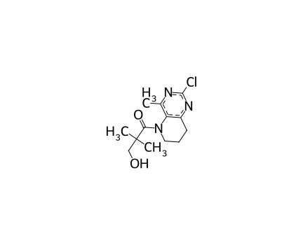 Cc1nc(Cl)nc2c1N(C(=O)C(C)(C)CO)CCC2